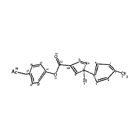 CCC1(c2ccc(C(F)(F)F)cc2)C=C(C(=O)Oc2ccc(C(C)=O)cc2)C=N1